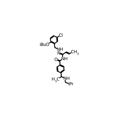 C/C=C/C(=N\NCc1cc(Cl)ccc1OCC(C)C)NC(=O)c1ccc(C(C)NCC(C)C)cc1